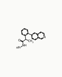 CCCNC(=O)C(C)c1ccccc1-c1ccc2cnccc2c1